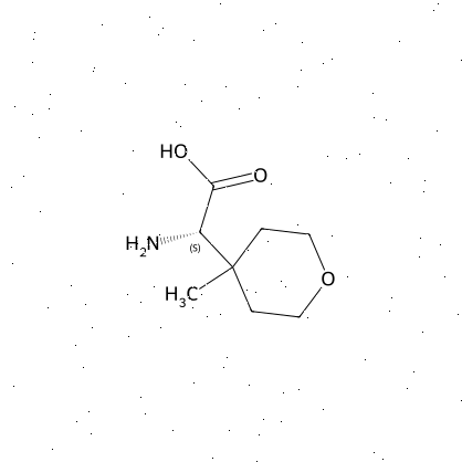 CC1([C@H](N)C(=O)O)CCOCC1